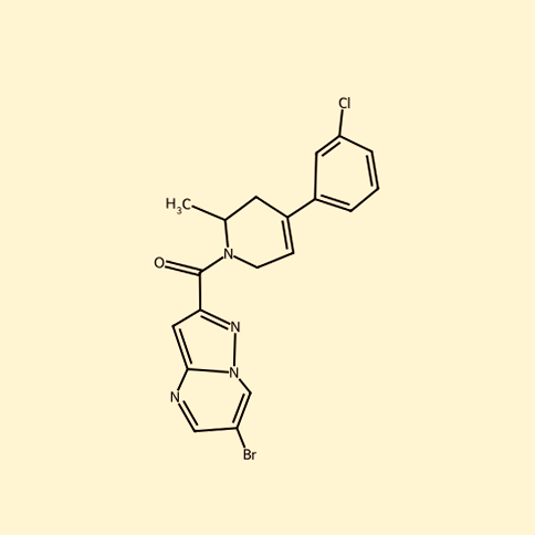 CC1CC(c2cccc(Cl)c2)=CCN1C(=O)c1cc2ncc(Br)cn2n1